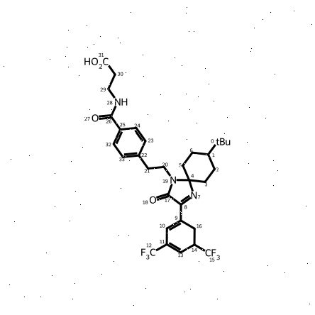 CC(C)(C)C1CCC2(CC1)N=C(C1=CC(C(F)(F)F)=CC(C(F)(F)F)C1)C(=O)N2CCc1ccc(C(=O)NCCC(=O)O)cc1